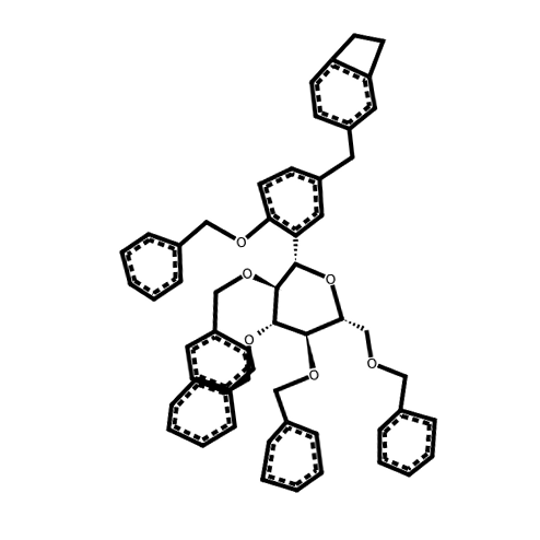 c1ccc(COC[C@H]2O[C@@H](c3cc(Cc4ccc5c(c4)CC5)ccc3OCc3ccccc3)[C@H](OCc3ccccc3)[C@@H](OCc3ccccc3)[C@@H]2OCc2ccccc2)cc1